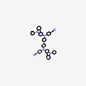 N#Cc1ccc(N(c2ccc(-c3ccc(N(c4ccc(C#N)cc4)c4ccc5c(c4)c4ccccc4n5-c4ccccc4)cc3)cc2)c2ccc3c(c2)c2ccccc2n3-c2c#cccc2)cc1